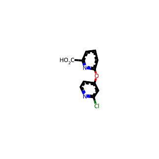 O=C(O)c1cccc(Oc2ccnc(Cl)c2)n1